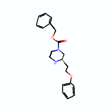 O=C(OCc1ccccc1)N1CCN[C@H](CCOc2ccccc2)C1